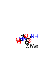 COc1ccc2c(c1)OC(C1CNC1)CC2NC(=O)C1(c2ccc3c(c2)OC(F)(F)O3)CC1